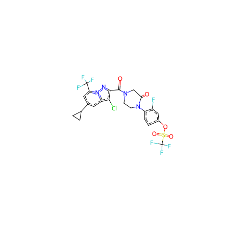 O=C(c1nn2c(C(F)(F)F)cc(C3CC3)cc2c1Cl)N1CCN(c2ccc(OS(=O)(=O)C(F)(F)F)cc2F)C(=O)C1